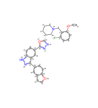 COc1cccc(F)c1CN1CCC[C@@H](c2nnc(-c3ccc4[nH]nc(-c5ccc6occc6c5)c4c3)o2)C1